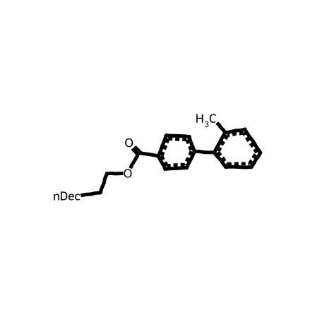 CCCCCCCCCCCCOC(=O)c1ccc(-c2ccccc2C)cc1